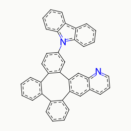 c1ccc2c(c1)-c1ccccc1-c1cc3cccnc3cc1-c1cc(-n3c4ccccc4c4ccccc43)ccc1-2